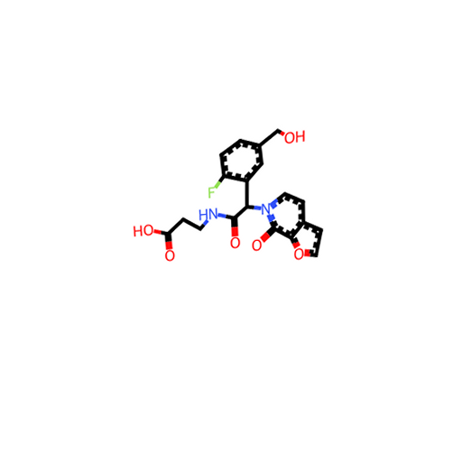 O=C(O)CCNC(=O)C(c1cc(CO)ccc1F)n1ccc2ccoc2c1=O